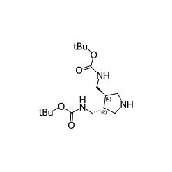 CC(C)(C)OC(=O)NC[C@H]1CNC[C@@H]1CNC(=O)OC(C)(C)C